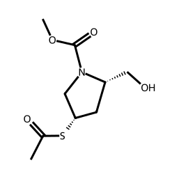 COC(=O)N1C[C@@H](SC(C)=O)C[C@H]1CO